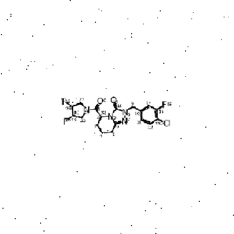 O=C([C@@H]1CCCc2nn(Cc3ccc(Cl)c(F)c3)c(=O)n21)N1C[C@@H](F)[C@@H](F)C1